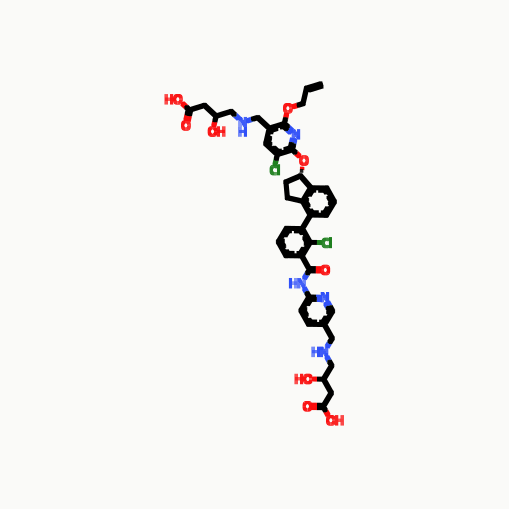 C=CCOc1nc(O[C@H]2CCc3c(-c4cccc(C(=O)Nc5ccc(CNCC(O)CC(=O)O)cn5)c4Cl)cccc32)c(Cl)cc1CNCC(O)CC(=O)O